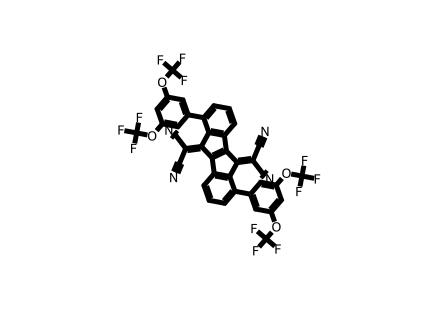 N#CC(C#N)=C1C2=C(C(=C(C#N)C#N)c3c2cccc3-c2cc(OC(F)(F)F)cc(OC(F)(F)F)c2)c2cccc(-c3cc(OC(F)(F)F)cc(OC(F)(F)F)c3)c21